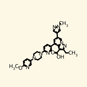 CCc1nn2cc(-c3cnn(C)c3)cc(-c3ccc(N4CCN(c5ccc(OC)nc5)CC4)nc3)c2c1C(=O)O